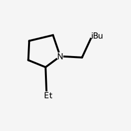 CCC(C)CN1CCCC1CC